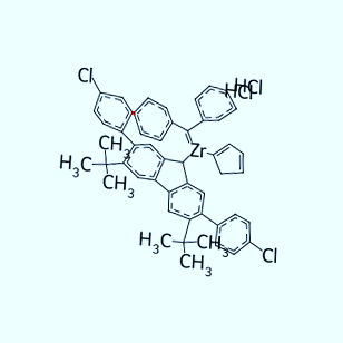 CC(C)(C)c1cc2c(cc1-c1ccc(Cl)cc1)[CH]([Zr]([C]1=CC=CC1)=[C](c1ccccc1)c1ccccc1)c1cc(-c3ccc(Cl)cc3)c(C(C)(C)C)cc1-2.Cl.Cl